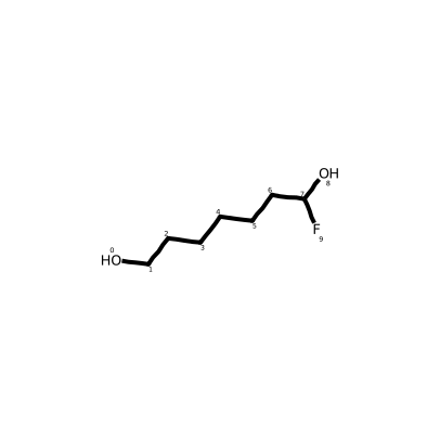 OCCCCCCC(O)F